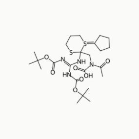 CC(=O)N(CC1(NC(=NC(=O)OC(C)(C)C)NC(=O)OC(C)(C)C)SCCCS1=C1CCCC1)C(=O)O